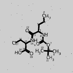 CCCC(NC(=O)OC(C)(C)C)C(=O)NC(CCl)C(=O)O